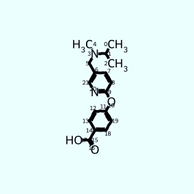 CC(C)N(C)Cc1ccc(Oc2ccc(C(=O)O)cc2)nc1